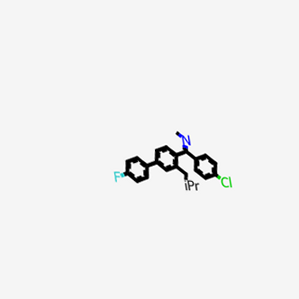 C/N=C(/c1ccc(Cl)cc1)c1ccc(-c2ccc(F)cc2)cc1CC(C)C